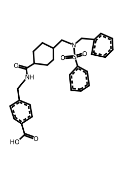 O=C(O)c1ccc(CNC(=O)C2CCC(CN(Cc3ccccc3)S(=O)(=O)c3ccccc3)CC2)cc1